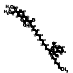 CCCCCCN(CCCCCCCCCCCCNC(=O)c1cc2ccc(N(CC)CC)cc2oc1=O)S(=O)(=O)c1ccccc1[N+](=O)[O-]